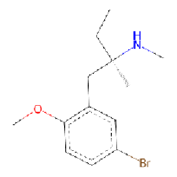 CC[C@](C)(Cc1cc(Br)ccc1OC)NC